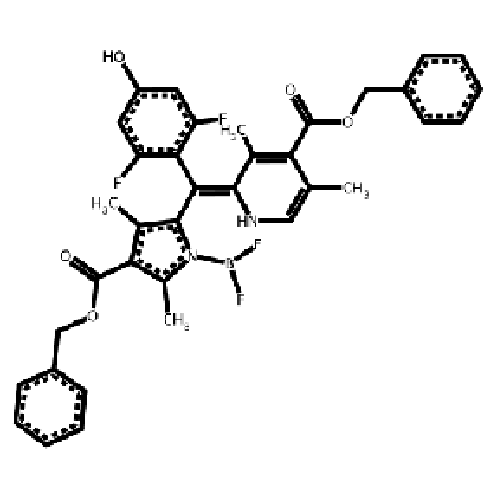 CC1=CN/C(=C(/c2c(F)cc(O)cc2F)c2c(C)c(C(=O)OCc3ccccc3)c(C)n2B(F)F)C(C)=C1C(=O)OCc1ccccc1